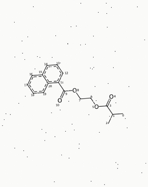 CC(C)C(=O)OCCOC(=O)c1cccc2ccccc12